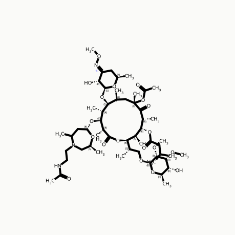 CO/N=C1\C[C@@H](C)O[C@@H](O[C@@H]2[C@@H](C)[C@H](O[C@H]3CC(C)N(CCNC(C)=O)C[C@H](C)O3)[C@@H](C)C(=O)O[C@H]([C@@H](C)CO[C@@H]3O[C@H](C)[C@@H](O)[C@@H](OC)[C@H]3OC)[C@H](C)[C@@H](OC(=O)CC(C)C)[C@@H](C)C(=O)[C@@](C)(OC(C)=O)C[C@@H]2C)[C@@H]1O